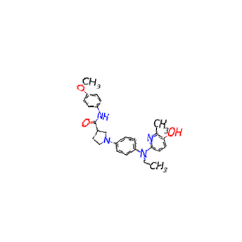 CCN(c1ccc(N2CCC(C(=O)Nc3ccc(OC)cc3)C2)cc1)c1ccc(O)c(C)n1